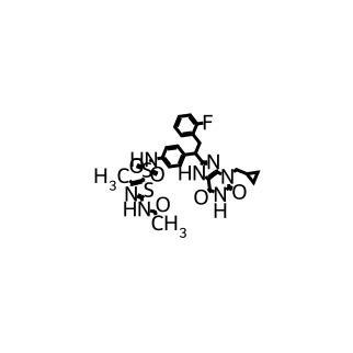 CC(=O)Nc1nc(C)c(S(=O)(=O)Nc2ccc(C(Cc3ccccc3F)c3nc4c([nH]3)c(=O)[nH]c(=O)n4CC3CC3)cc2)s1